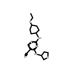 CCOC1CCC(Nc2ncc(C#N)c(NC3CCOC3)n2)CC1